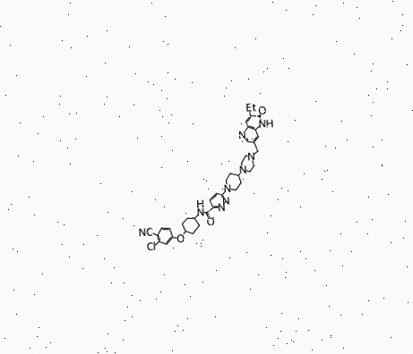 CCc1cc2ncc(CN3CCN(C4CCN(c5ccc(C(=O)NC6CCC(Oc7ccc(C#N)c(Cl)c7)CC6)nn5)CC4)CC3)cc2[nH]c1=O